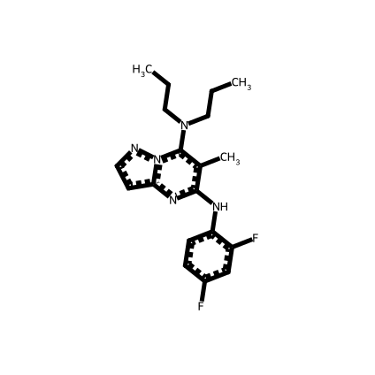 CCCN(CCC)c1c(C)c(Nc2ccc(F)cc2F)nc2ccnn12